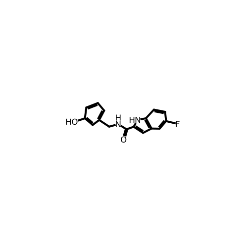 O=C(NCc1cccc(O)c1)c1cc2cc(F)ccc2[nH]1